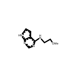 COCCNc1ncnc2[nH]ccc12